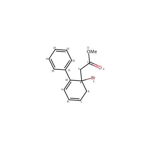 COC(=O)CC1(Br)CC=CC=C1c1ccccc1